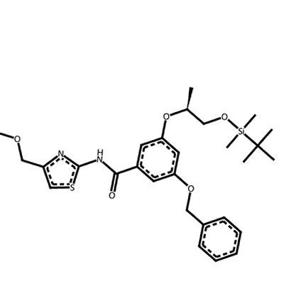 COCc1csc(NC(=O)c2cc(OCc3ccccc3)cc(O[C@@H](C)CO[Si](C)(C)C(C)(C)C)c2)n1